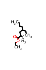 CCCCC(CC)CC(C)C(=O)OCC